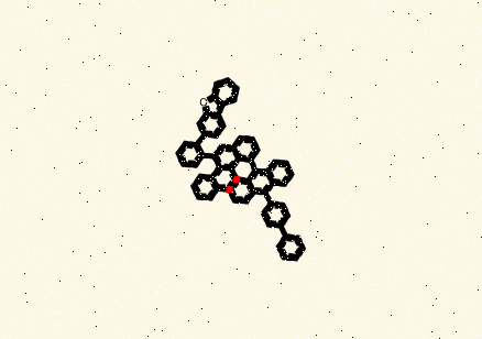 c1ccc(-c2ccc(-c3c4ccccc4c(-c4cccc5cc(-c6ccccc6-c6ccc7c(c6)oc6ccccc67)c6c7ccccc7ccc6c45)c4ccccc34)cc2)cc1